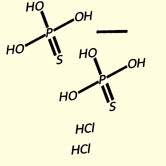 CC.Cl.Cl.OP(O)(O)=S.OP(O)(O)=S